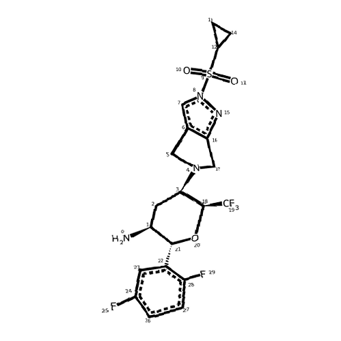 N[C@H]1C[C@@H](N2Cc3cn(S(=O)(=O)C4CC4)nc3C2)[C@@H](C(F)(F)F)O[C@@H]1c1cc(F)ccc1F